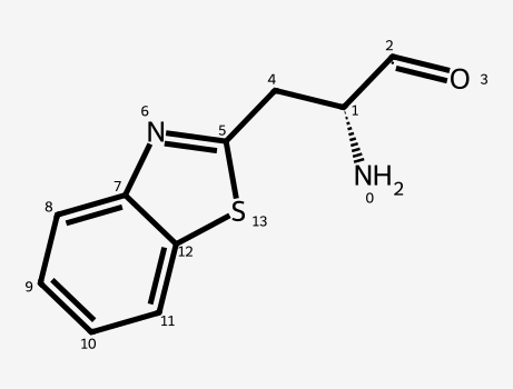 N[C@@H]([C]=O)Cc1nc2ccccc2s1